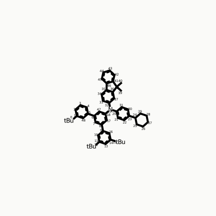 CC(C)(C)c1cccc(-c2cc(-c3cc(C(C)(C)C)cc(C(C)(C)C)c3)cc(N(c3ccc(C4CCCCC4)cc3)c3ccc4c(c3)C(C)(C)c3ccccc3-4)c2)c1